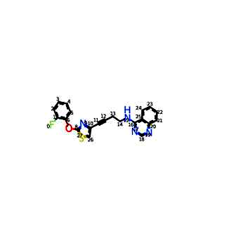 Fc1ccccc1Oc1nc(C#CCCNc2ncnc3ccccc23)cs1